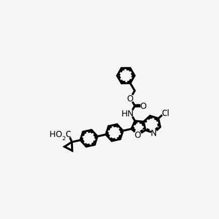 O=C(Nc1c(-c2ccc(-c3ccc(C4(C(=O)O)CC4)cc3)cc2)oc2ncc(Cl)cc12)OCc1ccccc1